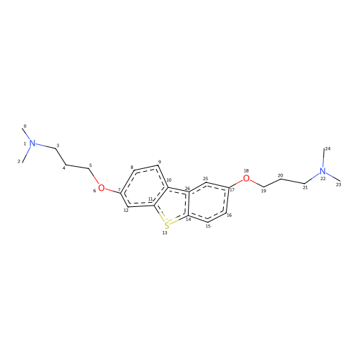 CN(C)CCCOc1ccc2c(c1)sc1ccc(OCCCN(C)C)cc12